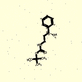 CC(C)(C)OC(=O)NCC[C@@H](O)c1ccccc1